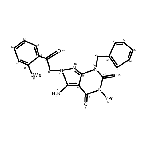 CCCn1c(=O)c2c(N)n(CC(=O)c3ccccc3OC)nc2n(Cc2ccccc2)c1=O